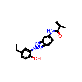 C=C(C)C(=O)Nc1ccc2c(c1)n1n(-c3cc(CC)ccc3O)n21